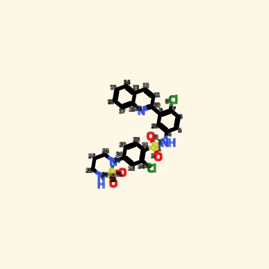 O=S(=O)(Nc1ccc(Cl)c(-c2ccc3ccccc3n2)c1)c1ccc(N2CCCNS2(=O)=O)cc1Cl